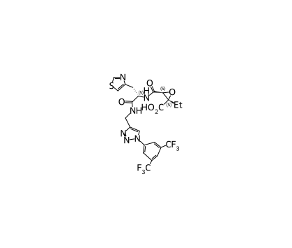 CC[C@]1(C(=O)O)O[C@@H]1C(=O)N[C@@H](Cc1cscn1)C(=O)NCc1cn(-c2cc(C(F)(F)F)cc(C(F)(F)F)c2)nn1